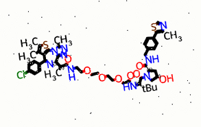 Cc1ncsc1-c1ccc(CNC(=O)[C@@H]2C[C@@H](O)CN2C(=O)[C@@H](NC(=O)COCCOCCOCCNC(=O)[C@H](C)[C@@H]2N=C(c3ccc(Cl)cc3)c3c(sc(C)c3C)-n3c(C)nnc32)C(C)(C)C)cc1